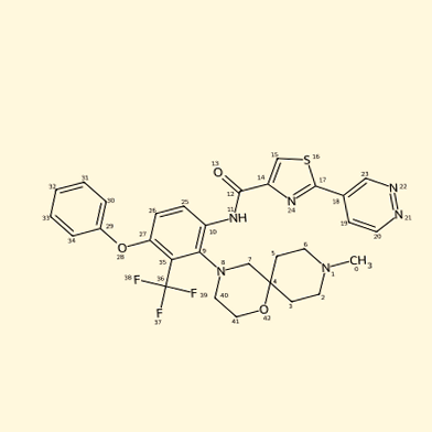 CN1CCC2(CC1)CN(c1c(NC(=O)c3csc(-c4ccnnc4)n3)ccc(Oc3ccccc3)c1C(F)(F)F)CCO2